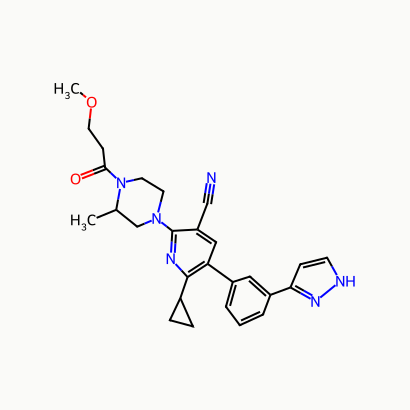 COCCC(=O)N1CCN(c2nc(C3CC3)c(-c3cccc(-c4cc[nH]n4)c3)cc2C#N)CC1C